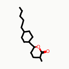 CCCCCC1CCC(C2CCC(C)C(=O)O2)CC1